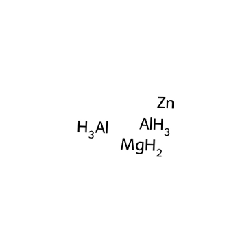 [AlH3].[AlH3].[MgH2].[Zn]